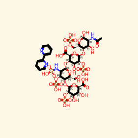 CC(=O)N[C@@H]1[C@@H](O)[C@H](O[C@@H]2O[C@H](C(=O)O)[C@@H](O[C@@H]3O[C@H](CO)[C@@H](O[C@H]4O[C@@H](C(=O)O)[C@H](O)[C@@H](O)[C@@H]4OS(=O)(=O)O)[C@H](OS(=O)(=O)O)[C@H]3NS(=O)(=O)O)[C@H](O)[C@H]2OS(=O)(=O)O)[C@H](COS(=O)(=O)O)O[C@H]1O.c1ccc(-c2ccccn2)nc1